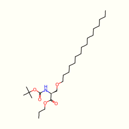 CCCCCCCCCCCCCCCCOC[C@H](NC(=O)OC(C)(C)C)C(=O)OCCC